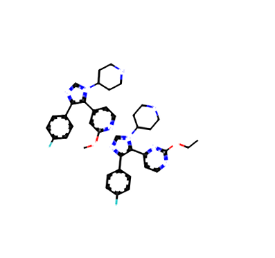 CCOc1nccc(-c2c(-c3ccc(F)cc3)ncn2C2CCNCC2)n1.COc1cc(-c2c(-c3ccc(F)cc3)ncn2C2CCNCC2)ccn1